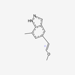 CO/C=C/c1cc(C)c2[nH]ncc2c1